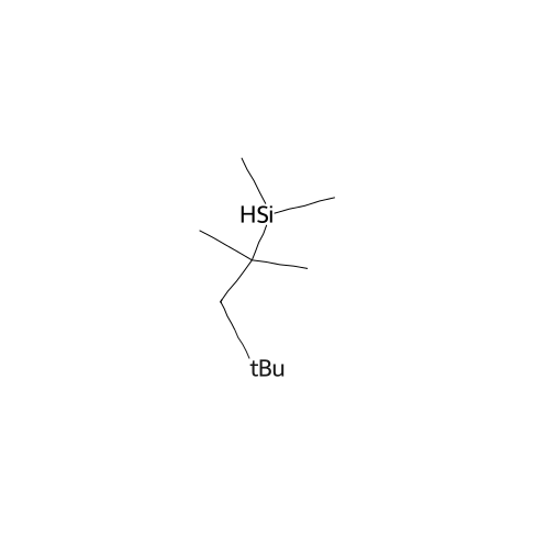 C[SiH](C)C(C)(C)CC(C)(C)C